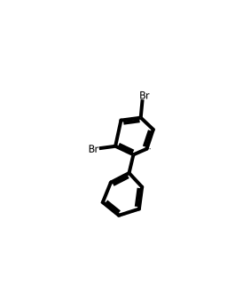 Brc1c[c]c(-c2ccccc2)c(Br)c1